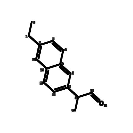 CCc1ccc2cc(C(C)C=O)ccc2c1